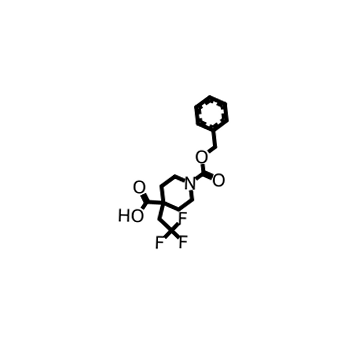 O=C(OCc1ccccc1)N1CCC(CC(F)(F)F)(C(=O)O)CC1